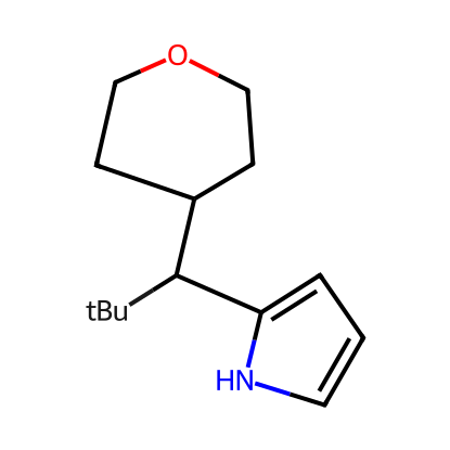 CC(C)(C)C(c1ccc[nH]1)C1CCOCC1